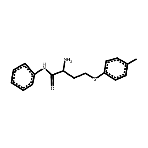 Cc1ccc(SCCC(N)C(=O)Nc2ccccc2)cc1